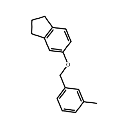 Cc1cccc(COc2ccc3c(c2)CCC3)c1